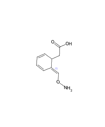 NO/C=C1\C=CC=CC1CC(=O)O